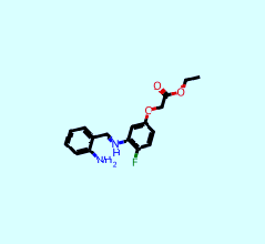 CCOC(=O)COc1ccc(F)c(NCc2ccccc2N)c1